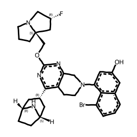 Oc1cc(N2CCc3c(nc(OC[C@@]45CCCN4C[C@H](F)C5)nc3[C@H]3C[C@H]4CC[C@@H](C3)N4)C2)c2c(Br)cccc2c1